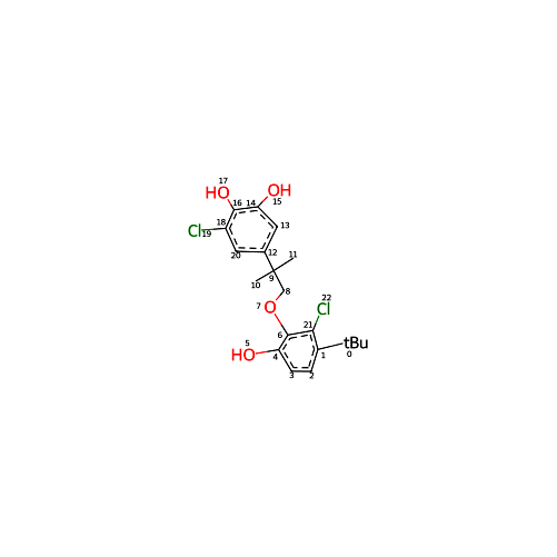 CC(C)(C)c1ccc(O)c(OCC(C)(C)c2cc(O)c(O)c(Cl)c2)c1Cl